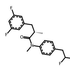 C[C@@H](Cc1cc(F)cc(F)c1)C(=O)N(C)c1ccc(CC(F)F)cc1